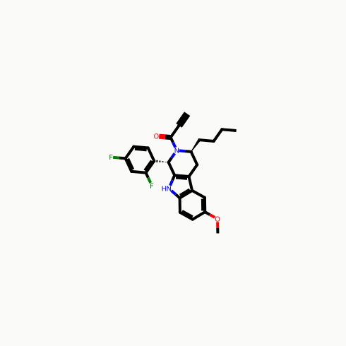 C#CC(=O)N1[C@@H](CCCC)Cc2c([nH]c3ccc(OC)cc23)[C@@H]1c1ccc(F)cc1F